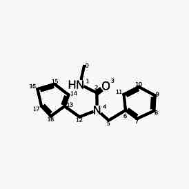 CNC(=O)N(Cc1ccccc1)Cc1ccccc1